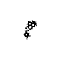 CC1(C)CC2CCN(S(=O)(=O)Cc3ccc(Cl)c(Cl)c3)Cc3cccc(c32)C12CC2